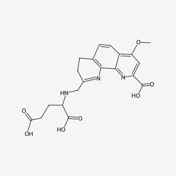 COc1cc(C(=O)O)nc2c3c(ccc12)CCC(CNC(CCC(=O)O)C(=O)O)=N3